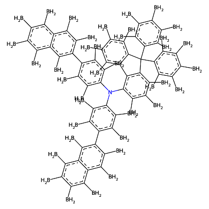 Bc1c(B)c(B)c(C2(c3c(B)c(B)c(B)c(B)c3B)c3c(B)c(B)c(B)c(B)c3-c3c(N(c4c(B)c(B)c(-c5c(B)c(B)c6c(B)c(B)c(B)c(B)c6c5B)c(B)c4B)c4c(B)c(B)c(-c5c(B)c(B)c6c(B)c(B)c(B)c(B)c6c5B)c(B)c4B)c(B)c(B)c(B)c32)c(B)c1B